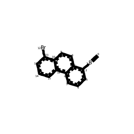 C=Bc1cccc2c1ccc1c(Br)cccc12